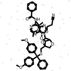 COc1ccc(C(SCC23COC(C(n4cnc5c(NC(=O)c6ccccc6)ncnc54)O2)C3OP(OCCC#N)N(C(C)C)C(C)C)(c2ccccc2)c2ccc(OC)cc2)cc1